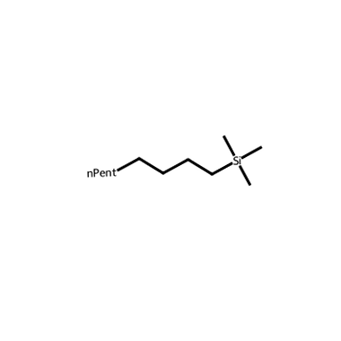 CCCCCCCCC[Si](C)(C)C